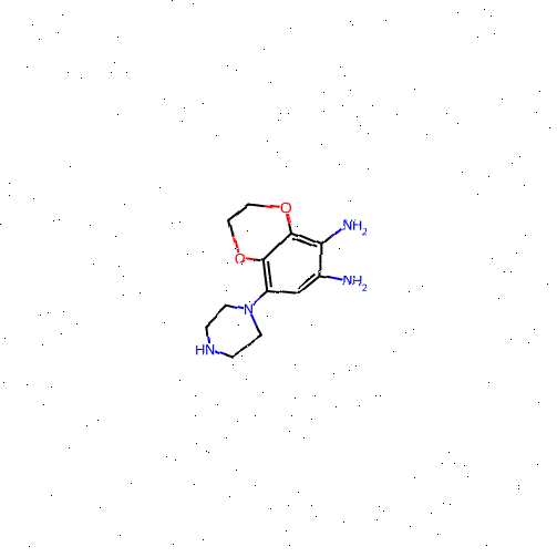 Nc1cc(N2CCNCC2)c2c(c1N)OCCO2